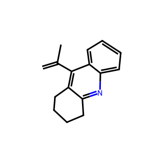 C=C(C)c1c2c(nc3ccccc13)CCCC2